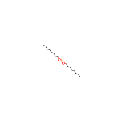 CCCCCCCCO[P]OCCCCCCCC